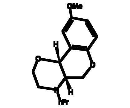 CCCN1CCO[C@H]2c3cc(OC)ccc3OC[C@@H]21